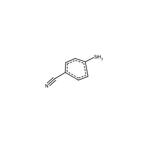 N#Cc1ccc([SiH3])cc1